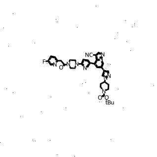 CC(C)(C)OC(=O)N1CCC(n2cc(-c3cc(-c4ccc(N5CCN(C(=O)Cc6ccc(F)cn6)CC5)nc4)c4c(C#N)cnn4c3)cn2)CC1